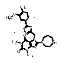 COc1cc(-c2nnc(Cn3c(N4CCCNCC4)nc4c3c(=O)n(C)c(=O)n4C)o2)ccc1C